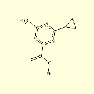 C=C(OCC)c1cc(C(=O)OCC)nc(C2CC2)n1